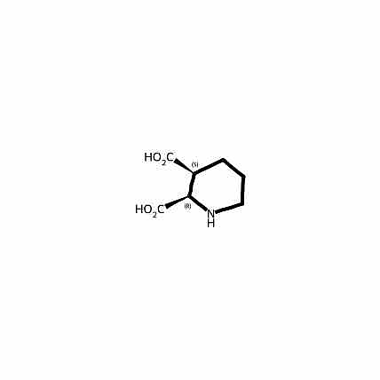 O=C(O)[C@H]1CCCN[C@H]1C(=O)O